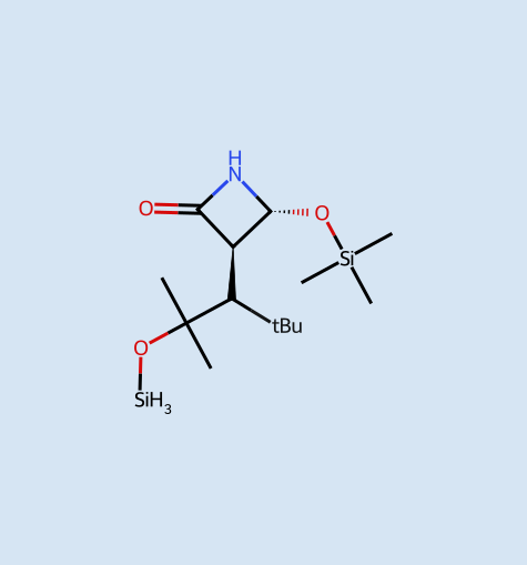 CC(C)(C)C([C@H]1C(=O)N[C@@H]1O[Si](C)(C)C)C(C)(C)O[SiH3]